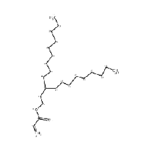 C=CC(=O)OCCC(CCCCCCCCC)CCCCCCCCC